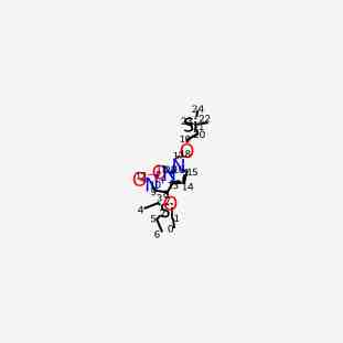 CC[Si](CC)(CC)OC(C[N+](=O)[O-])c1ccn(COCC[Si](C)(C)C)n1